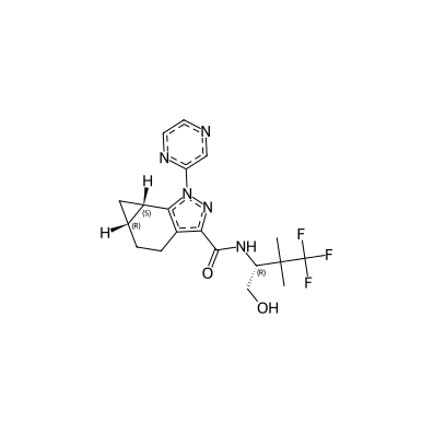 CC(C)([C@H](CO)NC(=O)c1nn(-c2cnccn2)c2c1CC[C@@H]1C[C@H]21)C(F)(F)F